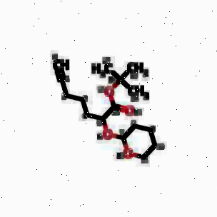 C#CCCCC(OC1CCCCO1)C(=O)OC(C)(C)C